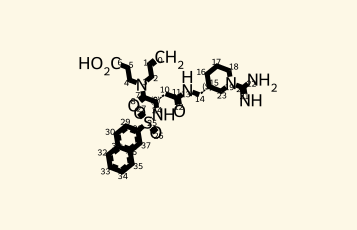 C=CCN(CCC(=O)O)C(=O)[C@H](CC(=O)NC[C@@H]1CCCN(C(=N)N)C1)NS(=O)(=O)c1ccc2ccccc2c1